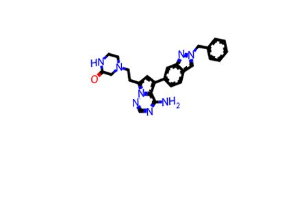 Nc1ncnn2c(CCN3CCNC(=O)C3)cc(-c3ccc4cn(Cc5ccccc5)nc4c3)c12